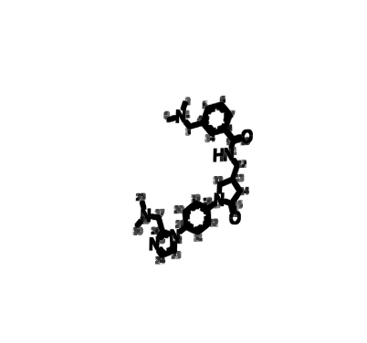 CN(C)Cc1cccc(C(=O)NCC2CC(=O)N(c3ccc(-n4ccnc4CN(C)C)cc3)C2)c1